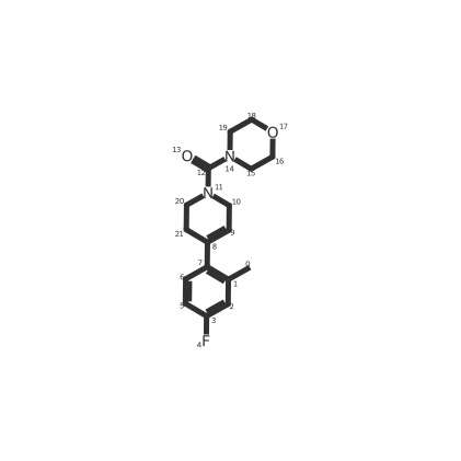 Cc1cc(F)ccc1C1=CCN(C(=O)N2CCOCC2)CC1